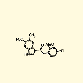 COc1cc(Cl)ccc1CC(=O)c1c[nH]c2cc(C)c(C)cc12